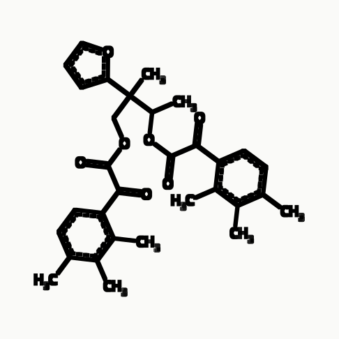 Cc1ccc(C(=O)C(=O)OCC(C)(c2ccco2)C(C)OC(=O)C(=O)c2ccc(C)c(C)c2C)c(C)c1C